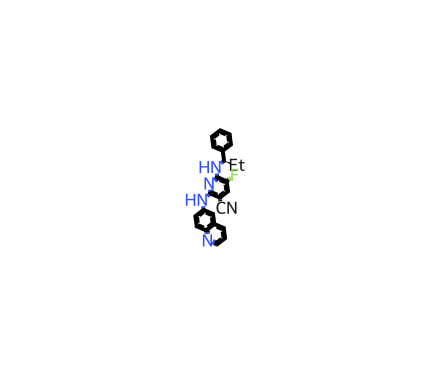 CC[C@H](Nc1nc(Nc2ccc3ncccc3c2)c(C#N)cc1F)c1ccccc1